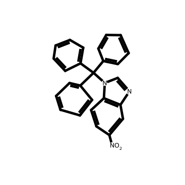 O=[N+]([O-])c1ccc2c(c1)ncn2C(c1ccccc1)(c1ccccc1)c1ccccc1